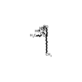 CCCCCCCCCCCCCCCCCC(=O)P(=O)(NCCO)OC[C@@H](CO)OCCCCC